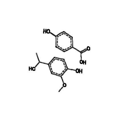 COc1cc(C(C)O)ccc1O.O=C(O)c1ccc(O)cc1